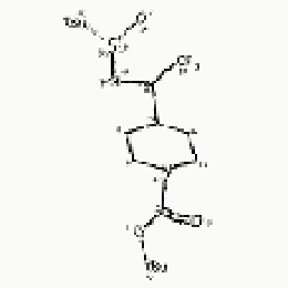 CC(C)(C)OC(=O)N1CCC(C(N[S@@+]([O-])C(C)(C)C)C(F)(F)F)CC1